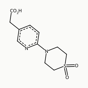 O=C(O)Cc1ccc(N2CCS(=O)(=O)CC2)nc1